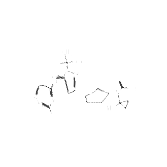 CC1(N(C(=O)O)[C@@H]2CC[C@H](c3cc(Nc4cnnc(Cl)n4)n(C(C)(C)C)n3)C2)CC1